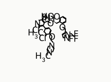 C[C@@H]1C(c2c(Cl)ncc3snc(O[C@H](Cc4ccccc4OCc4ccnn4CC(F)(F)F)C(=O)O)c23)=CC=C(OCCN2CCN(C)CC2)C1Cl